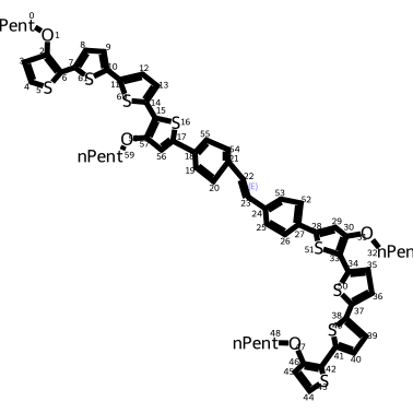 CCCCCOc1ccsc1-c1ccc(-c2ccc(-c3sc(-c4ccc(/C=C/c5ccc(-c6cc(OCCCCC)c(-c7ccc(-c8ccc(-c9sccc9OCCCCC)s8)s7)s6)cc5)cc4)cc3OCCCCC)s2)s1